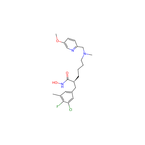 COc1ccc(CN(C)CCCC[C@@H](Cc2cc(C)c(F)c(Cl)c2)C(=O)NO)nc1